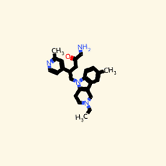 CCN1CCc2c(c3cc(C)ccc3n2CC(CC(=O)CN)c2ccnc(C)c2)C1